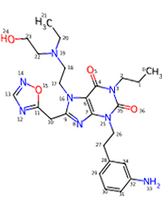 CCCn1c(=O)c2c(nc(Cc3ncno3)n2CCN(CC)CCO)n(CCc2cccc(N)c2)c1=O